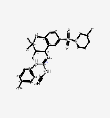 CC1CCCN(S(=O)(=O)c2ccc3c(c2)C(/N=C(/NC#N)Nc2ccc(Cl)cc2)C(O)C(C)(C)O3)C1